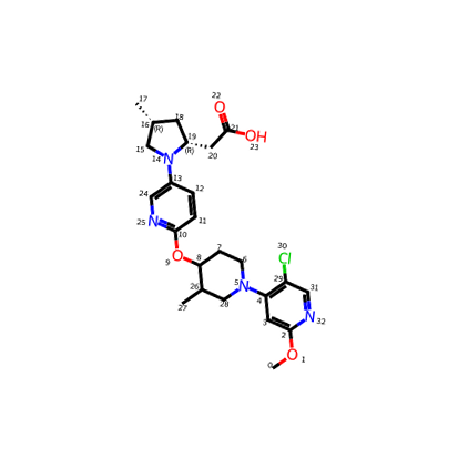 COc1cc(N2CCC(Oc3ccc(N4C[C@H](C)C[C@@H]4CC(=O)O)cn3)C(C)C2)c(Cl)cn1